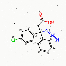 [N-]=[N+]=NC(CC(=O)O)(c1ccccc1)c1ccc(Cl)cc1